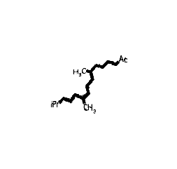 CC(=O)CCCCC(C)CCCC(C)CCCC(C)C